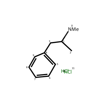 CNC(C)Cc1ccccc1.Cl.Cl